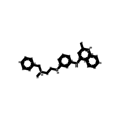 Cc1cc(Nc2cccc(OCCN(C)Cc3ccccc3)c2)c2ccccc2n1